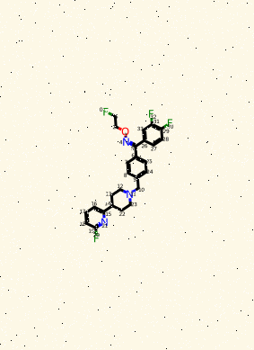 FCCON=C(c1ccc(CN2CCC(c3cccc(F)n3)CC2)cc1)c1ccc(F)c(F)c1